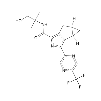 CC(C)(CO)NC(=O)c1nn(-c2cnc(C(F)(F)F)cn2)c2c1C[C@H]1C[C@@H]21